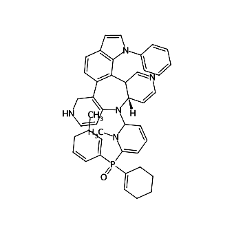 CC1C=C(P(=O)(C2=CCCCC2)C2=CC=CC(N3C4=C(CNC=C4)c4ccc5ccn(-c6ccccc6)c5c4C4C=NC=C[C@@H]43)N2C)C=CC1